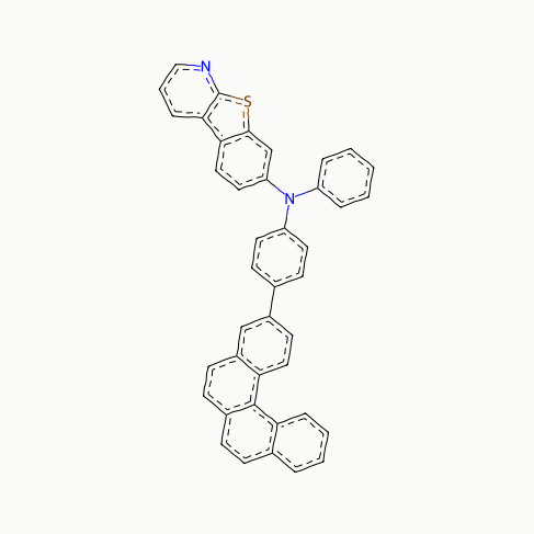 c1ccc(N(c2ccc(-c3ccc4c(ccc5ccc6ccccc6c54)c3)cc2)c2ccc3c(c2)sc2ncccc23)cc1